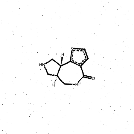 O=C1NC[C@H]2CNC[C@@H]2c2sccc21